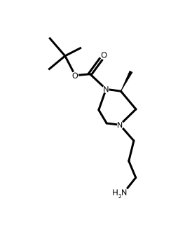 C[C@H]1CN(CCCN)CCN1C(=O)OC(C)(C)C